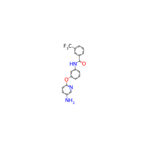 Nc1ccc(Oc2cccc(NC(=O)c3cccc(C(F)(F)F)c3)c2)nc1